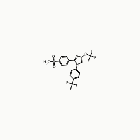 CS(=O)(=O)c1ccc(-c2nc(OC(F)(F)F)cn2-c2ccc(C(F)(F)F)cc2)cc1